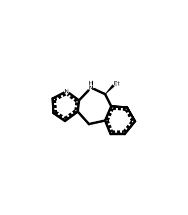 CC[C@@H]1Nc2ncccc2Cc2ccccc21